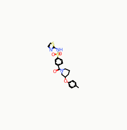 Cc1ccc(OC2CCCN(C(=O)c3ccc(S(=O)(=O)Nc4nccs4)cc3)C2)cc1